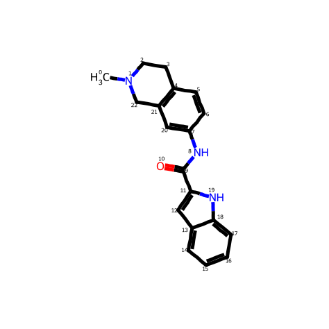 CN1CCc2ccc(NC(=O)c3cc4ccccc4[nH]3)cc2C1